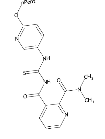 CCCCCOc1ccc(NC(=S)NC(=O)c2cccnc2C(=O)N(C)C)cn1